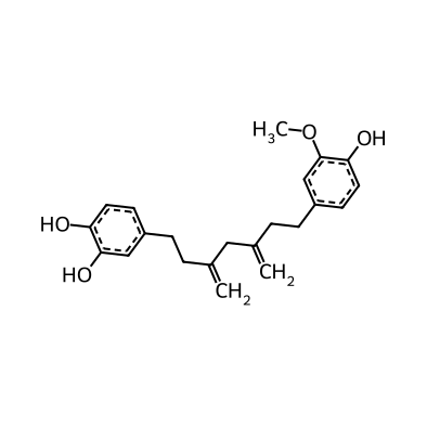 C=C(CCc1ccc(O)c(O)c1)CC(=C)CCc1ccc(O)c(OC)c1